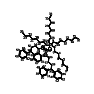 CCCCCCCCP(CCCCCCCC)(CCCCCCCC)(CCCCCCCC)OB(OCCCC(c1ccccc1)c1ccccc1)OCCCC(c1ccccc1)c1ccccc1